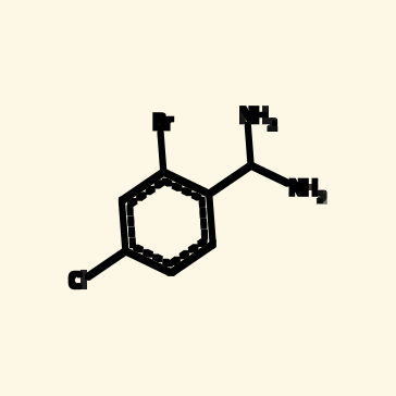 NC(N)c1ccc(Cl)cc1Br